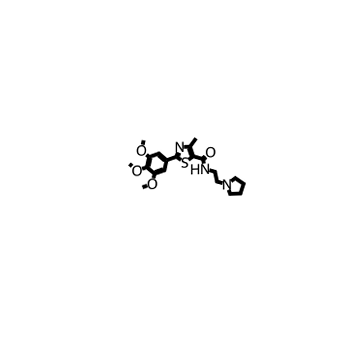 COc1cc(-c2nc(C)c(C(=O)NCCN3CCCC3)s2)cc(OC)c1OC